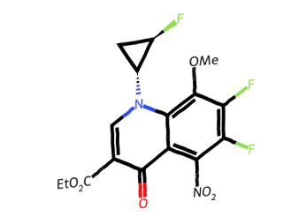 CCOC(=O)c1cn([C@@H]2C[C@H]2F)c2c(OC)c(F)c(F)c([N+](=O)[O-])c2c1=O